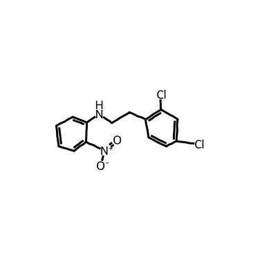 O=[N+]([O-])c1ccccc1NCCc1ccc(Cl)cc1Cl